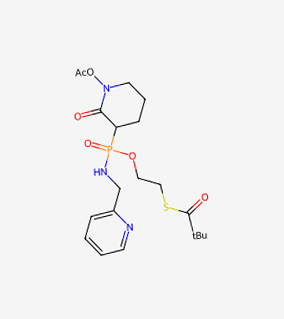 CC(=O)ON1CCCC(P(=O)(NCc2ccccn2)OCCSC(=O)C(C)(C)C)C1=O